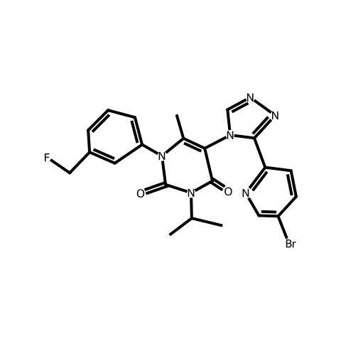 Cc1c(-n2cnnc2-c2ccc(Br)cn2)c(=O)n(C(C)C)c(=O)n1-c1cccc(CF)c1